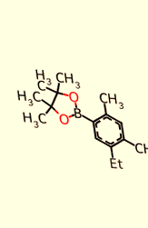 CCc1cc(B2OC(C)(C)C(C)(C)O2)c(C)cc1C